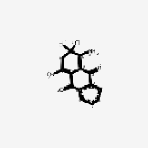 NC1=C2C(=O)c3ccccc3C(=O)C2=C(N)C(Cl)(Cl)C1